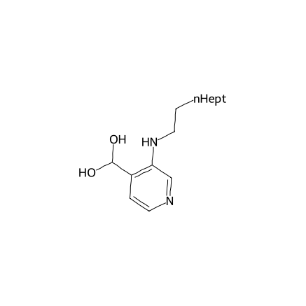 CCCCCCCCCNc1cnccc1C(O)O